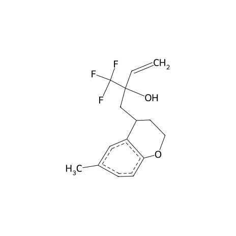 C=CC(O)(CC1CCOc2ccc(C)cc21)C(F)(F)F